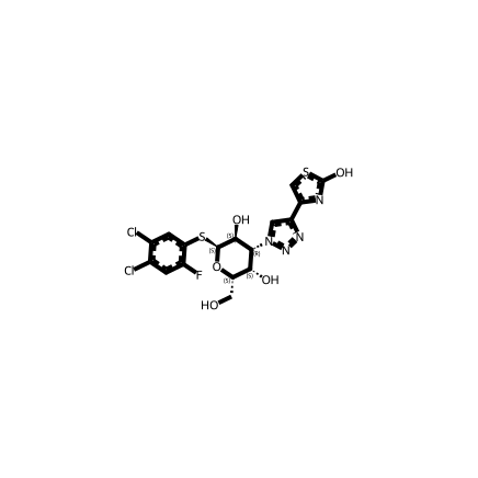 OC[C@@H]1O[C@@H](Sc2cc(Cl)c(Cl)cc2F)[C@@H](O)[C@H](n2cc(-c3csc(O)n3)nn2)[C@@H]1O